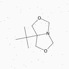 CC(C)(C)C12COCN1COC2